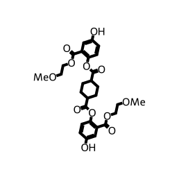 COCCOC(=O)c1cc(O)ccc1OC(=O)C1CCC(C(=O)Oc2ccc(O)cc2C(=O)OCCOC)CC1